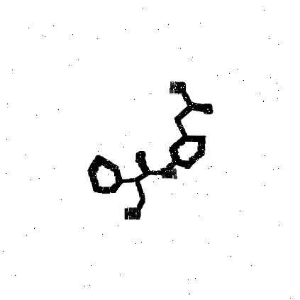 O=C(O)Cc1cccc(NC(=O)C(CO)c2ccccc2)c1